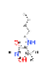 CCCCCNC(C(=O)N(C)O)C(C)(C)C